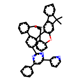 CC1(C)c2ccccc2-c2cc3c(cc21)Oc1ccccc1C31c2ccccc2-c2ccccc2-c2ccc(-c3nc(-c4ccccc4)cc(-c4cccnc4)n3)cc21